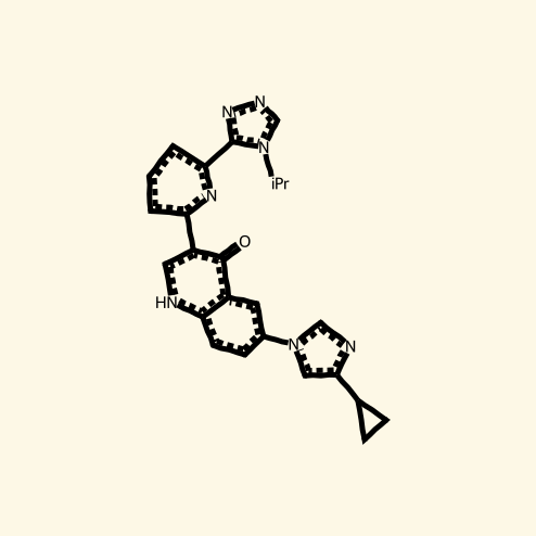 CC(C)n1cnnc1-c1cccc(-c2c[nH]c3ccc(-n4cnc(C5CC5)c4)cc3c2=O)n1